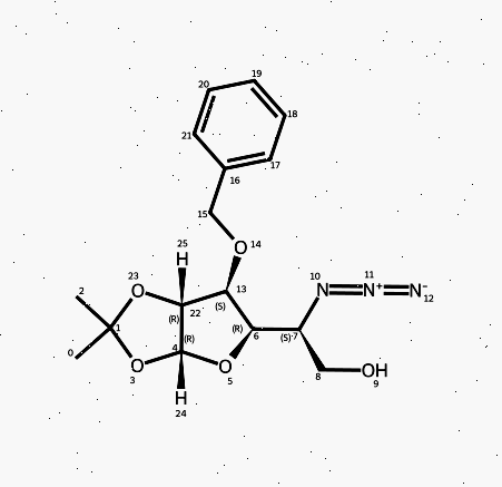 CC1(C)O[C@H]2O[C@H]([C@H](CO)N=[N+]=[N-])[C@H](OCc3ccccc3)[C@H]2O1